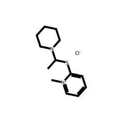 CC(Sc1cccc[n+]1C)N1CCCCC1.[Cl-]